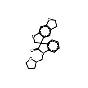 O=C1N(C[C@H]2CCCO2)c2ccccc2C12COc1cc3c(cc12)CCO3